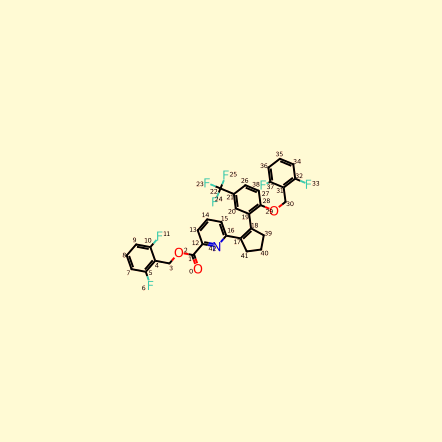 O=C(OCc1c(F)cccc1F)c1cccc(C2=C(c3cc(C(F)(F)F)ccc3OCc3c(F)cccc3F)CCC2)n1